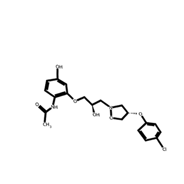 CC(=O)Nc1ccc(O)cc1OC[C@H](O)CN1C[C@H](Oc2ccc(Cl)cc2)CO1